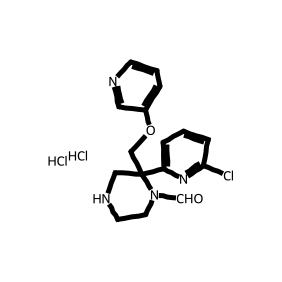 Cl.Cl.O=CN1CCNCC1(COc1cccnc1)c1cccc(Cl)n1